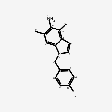 Cc1cc2c(ccn2Cc2ccc(F)cc2)c(C)c1N